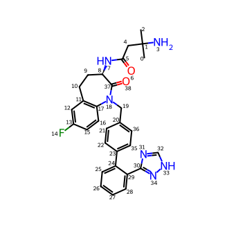 CC(C)(N)CC(=O)N[C@@H]1CCc2cc(F)ccc2N(Cc2ccc(-c3ccccc3-c3nc[nH]n3)cc2)C1=O